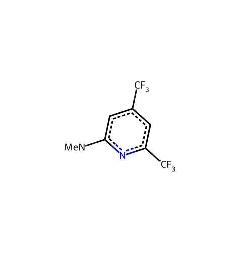 CNc1cc(C(F)(F)F)cc(C(F)(F)F)n1